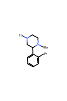 CCN1CCN(C(C)(C)C)C(c2ccccc2C(C)C)C1